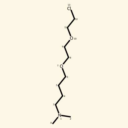 CN(C)CCCCOCCOCCCl